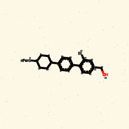 CCCCCC1CCC(c2ccc(-c3ccc(CO)cc3CC)cc2)CC1